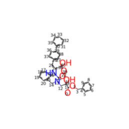 O=C(OCc1ccccc1)C(O)CN(Cc1ccccc1)C(=O)N[C@@H](Cc1ccc(-c2ccccc2)cc1)C(=O)O